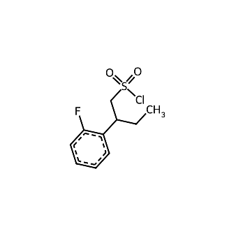 CCC(CS(=O)(=O)Cl)c1ccccc1F